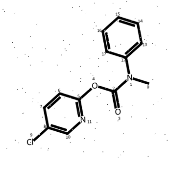 CN(C(=O)Oc1ccc(Cl)cn1)c1ccccc1